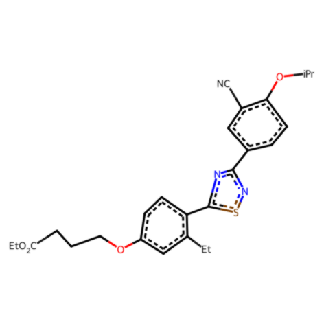 CCOC(=O)CCCOc1ccc(-c2nc(-c3ccc(OC(C)C)c(C#N)c3)ns2)c(CC)c1